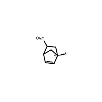 O=CC1C[C@@H]2C=CC1C2